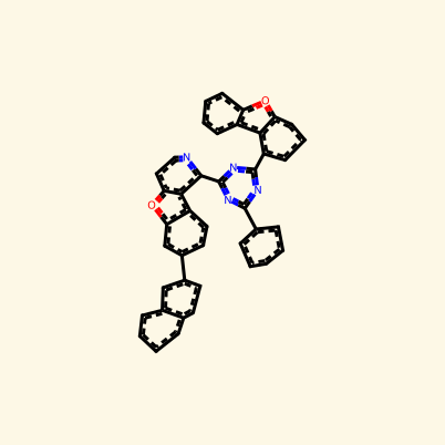 c1ccc(-c2nc(-c3cccc4oc5ccccc5c34)nc(-c3nccc4oc5cc(-c6ccc7ccccc7c6)ccc5c34)n2)cc1